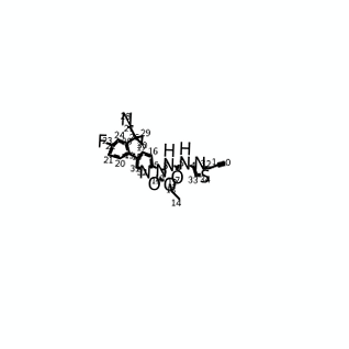 C#Cc1nc(NC(=O)NN(C(=O)OCC)c2ccc(-c3ccc(F)cc3C3(C#N)CC3)cn2)cs1